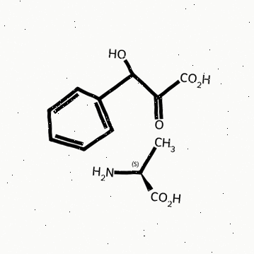 C[C@H](N)C(=O)O.O=C(O)C(=O)C(O)c1ccccc1